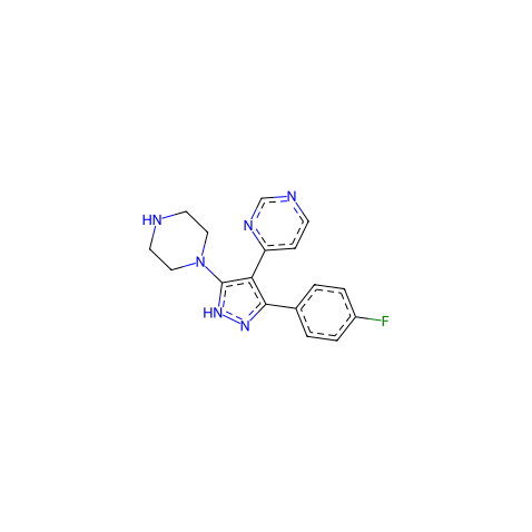 Fc1ccc(-c2n[nH]c(N3CCNCC3)c2-c2ccncn2)cc1